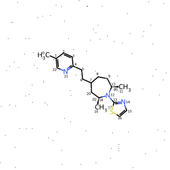 Cc1ccc(CCC2CC[C@@H](C)N(c3nccs3)[C@@H](C)C2)nc1